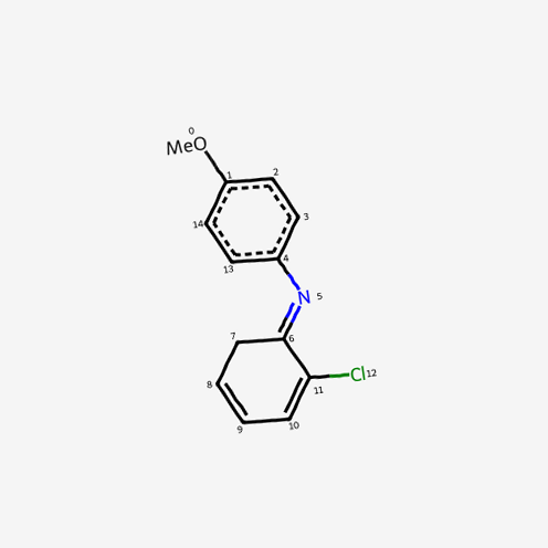 COc1ccc(N=C2CC=CC=C2Cl)cc1